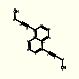 OCC#Cc1cccc2c(C#CCO)cccc12